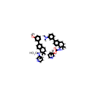 CC(C)Oc1cccc(-c2ccc3c(c2)CCC(C)(C)[C@@H]3N(C(=O)O)C2CN3CCC2CC3)c1.CN(C)c1cccc(-c2ccc3c(c2)CCC(C)(C)C3NC(=O)O[C@H]2CN3CCC2CC3)c1